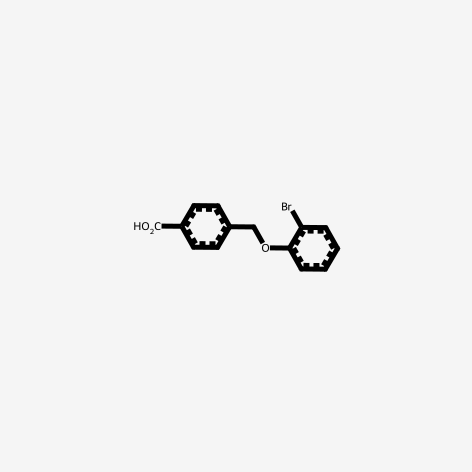 O=C(O)c1ccc(COc2ccccc2Br)cc1